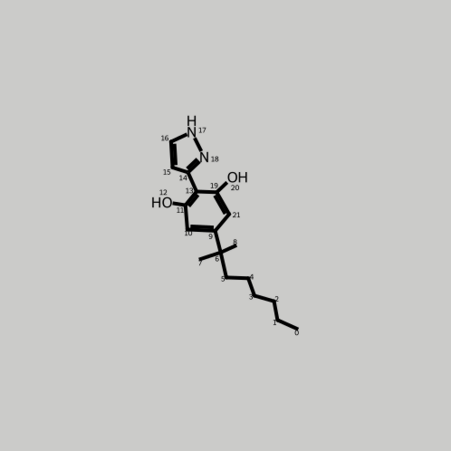 CCCCCCC(C)(C)c1cc(O)c(-c2cc[nH]n2)c(O)c1